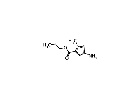 CCCOC(=O)c1cc(N)nn1C